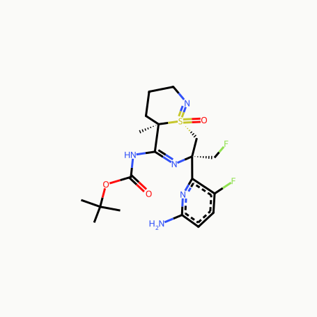 CC(C)(C)OC(=O)NC1=N[C@](CF)(c2nc(N)ccc2F)C[S@@]2(=O)=NCCC[C@]12C